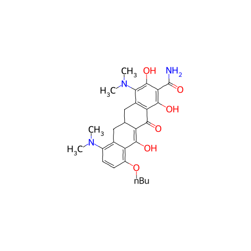 CCCCOc1ccc(N(C)C)c2c1C(O)=C1C(=O)c3c(O)c(C(N)=O)c(O)c(N(C)C)c3CC1C2